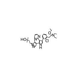 CCOC(Cc1cccc(-c2c[nH]c(-c3cnn(CCC(C)(C)O)c3C)c2-c2ncccn2)c1Cl)N(CC)CC